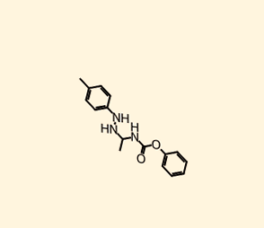 Cc1ccc(NNC(C)NC(=O)Oc2ccccc2)cc1